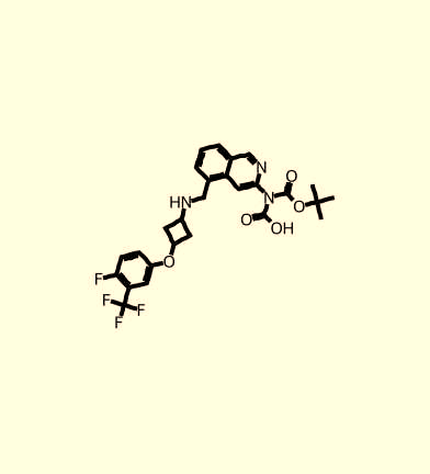 CC(C)(C)OC(=O)N(C(=O)O)c1cc2c(CNC3CC(Oc4ccc(F)c(C(F)(F)F)c4)C3)cccc2cn1